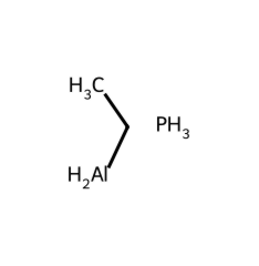 C[CH2][AlH2].P